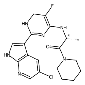 C[C@@H](NC1=C(F)CNC(c2c[nH]c3ncc(Cl)cc23)=N1)C(=O)N1CCCCC1